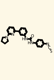 O=C(Nc1ccc(N=C=S)cc1)Nc1cccc(-c2cccc(N3CCCC3)n2)c1